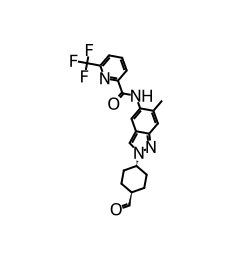 Cc1cc2nn([C@H]3CC[C@H](C=O)CC3)cc2cc1NC(=O)c1cccc(C(F)(F)F)n1